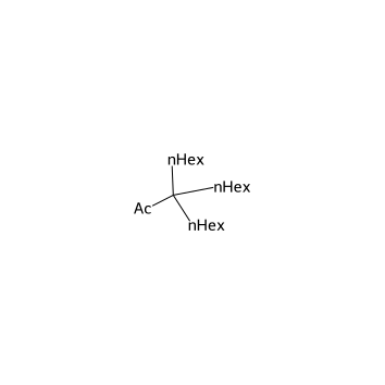 CCCCCCC(CCCCCC)(CCCCCC)C(C)=O